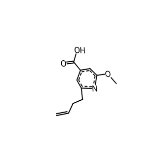 C=CCCc1cc(C(=O)O)cc(OC)n1